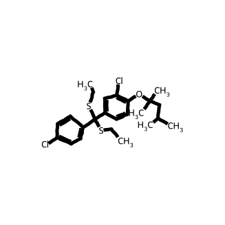 CCSC(SCC)(c1ccc(Cl)cc1)c1ccc(OC(C)(C)CC(C)C)c(Cl)c1